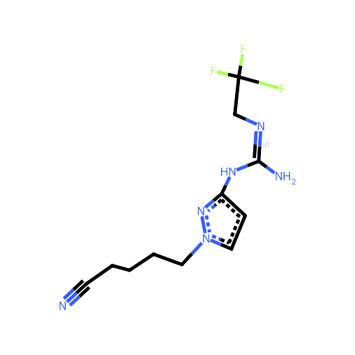 N#CCCCCn1ccc(N/C(N)=N\CC(F)(F)F)n1